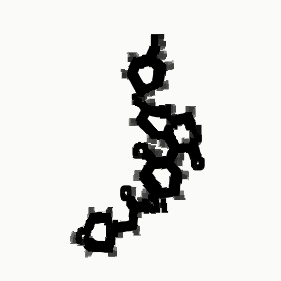 O=C(CN1CCOCC1)Nc1ccc(-c2c(=O)ncn3nc(Sc4ccc(F)cc4)ccc23)c(Cl)c1